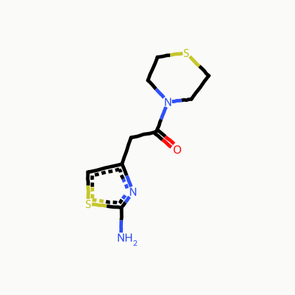 Nc1nc(CC(=O)N2CCSCC2)cs1